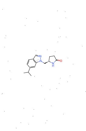 CC(C)c1ccc2cnn(C[C@H]3CCC(=O)N3)c2c1